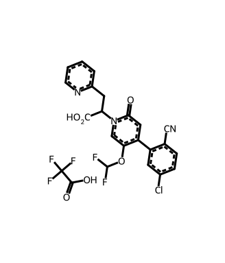 N#Cc1ccc(Cl)cc1-c1cc(=O)n(C(Cc2ccccn2)C(=O)O)cc1OC(F)F.O=C(O)C(F)(F)F